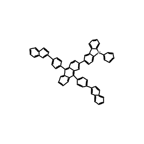 c1ccc(-n2c3ccccc3c3cc(-c4ccc5c(-c6ccc(-c7ccc8ccccc8c7)cc6)c6ccccc6c(-c6ccc(-c7ccc8ccccc8c7)cc6)c5c4)ccc32)cc1